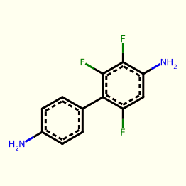 Nc1ccc(-c2c(F)cc(N)c(F)c2F)cc1